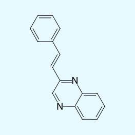 C(=Cc1cnc2ccccc2n1)c1ccccc1